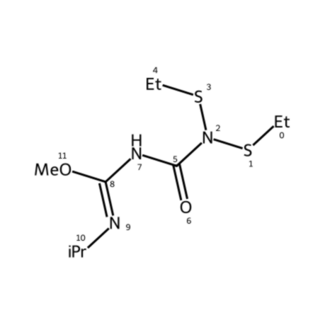 CCSN(SCC)C(=O)NC(=NC(C)C)OC